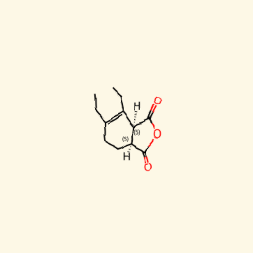 CCC1=C(CC)[C@H]2C(=O)OC(=O)[C@H]2CC1